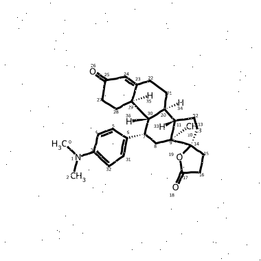 CN(C)c1ccc([C@H]2C[C@@]3(C)[C@@H](CC[C@@]34CCC(=O)O4)[C@@H]3CCC4=CC(=O)CC[C@@H]4[C@H]32)cc1